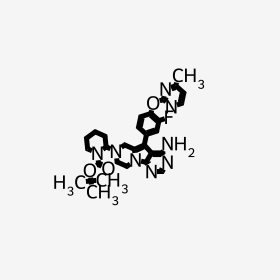 Cc1ccnc(Oc2ccc(-c3c4n(c5ncnc(N)c35)CCN(C3CCCCN3C(=O)OC(C)(C)C)C4)cc2F)n1